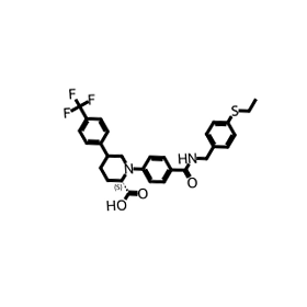 CCSc1ccc(CNC(=O)c2ccc(N3CC(c4ccc(C(F)(F)F)cc4)CC[C@H]3C(=O)O)cc2)cc1